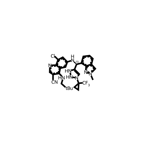 Cn1cc2cccc([C@H](Nc3cc(Cl)c4ncc(C#N)c(NCC(C)(C)C)c4c3)C3=CN(C4(C(F)(F)F)CC4)NN3)c2n1